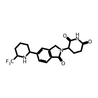 O=C1CCC(N2Cc3cc(C4CCCC(C(F)(F)F)N4)ccc3C2=O)C(=O)N1